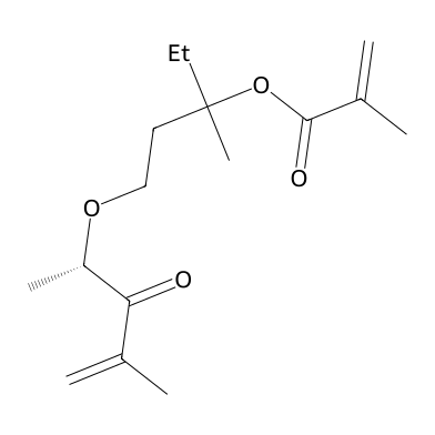 C=C(C)C(=O)OC(C)(CC)CCO[C@@H](C)C(=O)C(=C)C